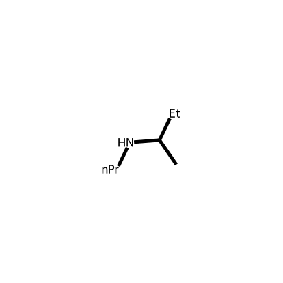 CCCNC(C)CC